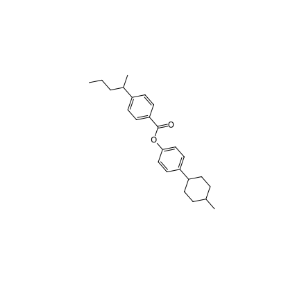 CCCC(C)c1ccc(C(=O)Oc2ccc(C3CCC(C)CC3)cc2)cc1